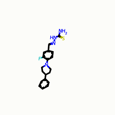 NC(=S)NN=Cc1ccc(N2CCC(c3ccccc3)CC2)c(F)c1